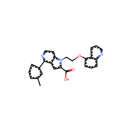 Cc1cccc(-c2nccc3c2cc(C(=O)O)n3CCOc2cccc3ncccc23)c1